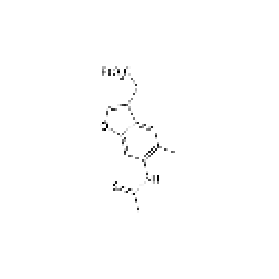 CCOC(=O)Cc1coc2cc(NC(C)=S)c(I)cc12